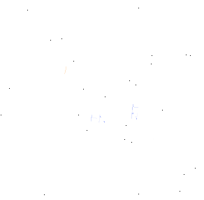 CC1=CC=CC(NCCCp2cccc2)N1